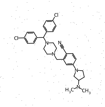 CN(C)C1CCN(c2ccc(C#N)c(CN3CCN(C(c4ccc(Cl)cc4)c4ccc(Cl)cc4)CC3)c2)C1